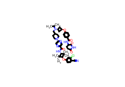 CC(C)N(CC1CCN(c2cnc(C(=O)N[C@H]3C(C)(C)[C@H](Oc4ccc(C#N)c(Cl)c4)C3(C)C)cn2)CC1)[C@H]1C[C@H](Oc2ccc(C(=O)NC3CCC(=O)NC3=O)cc2)C1